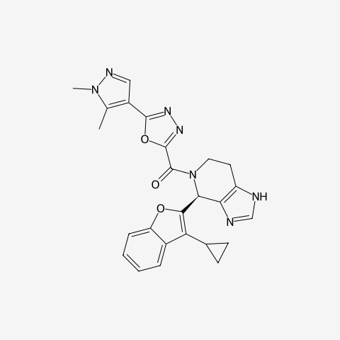 Cc1c(-c2nnc(C(=O)N3CCc4[nH]cnc4[C@H]3c3oc4ccccc4c3C3CC3)o2)cnn1C